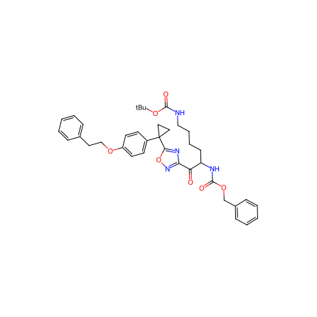 CC(C)(C)OC(=O)NCCCCC(NC(=O)OCc1ccccc1)C(=O)c1noc(C2(c3ccc(OCCc4ccccc4)cc3)CC2)n1